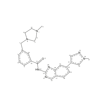 CN1CCN(Cc2cccc(C(=O)Nc3ncc4ccc(-c5cnn(C)c5)cc4n3)c2)CC1